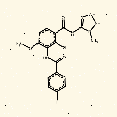 CN1NNN=C1NC(=O)c1ccc(OC(F)(F)F)c(NC(=O)c2ccc(F)cn2)c1Cl